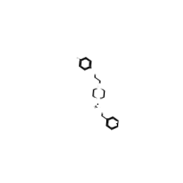 CC(C)(C)c1ccc(OCCN2CCN(C(=O)OCc3ccccc3)CC2)cc1